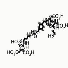 O=C(O)CC[C@H](NC(=O)N[C@@H](CCCCNC(=O)NCc1ccc(CC(=O)N[C@@H](CC(=O)O)C(=O)N[C@@H](CC(=O)O)C(=O)NCCS)cc1)C(=O)O)C(=O)O